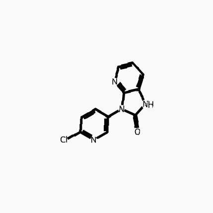 O=c1[nH]c2cccnc2n1-c1ccc(Cl)nc1